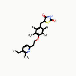 [2H]c1c([2H])c(OCCc2ccc(CC(C)C)c(C)n2)c(C)c([2H])c1CC1SC(=O)NC1=O